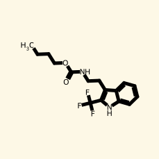 CCCCOC(=O)NCCc1c(C(F)(F)F)[nH]c2ccccc12